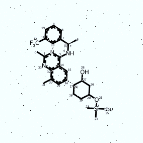 Cc1nc(N[C@H](C)c2cccc(C(F)(F)F)c2)c2cc([C@H]3CCC(O[Si](C)(C)C(C)(C)C)CC3O)cc(C)c2n1